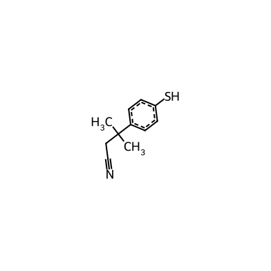 CC(C)(CC#N)c1ccc(S)cc1